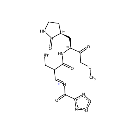 CC(C)CC(/C=N/C(=O)c1ncon1)C(=O)N[C@@H](C[C@@H]1CCNC1=O)C(=O)COC(F)(F)F